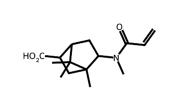 C=CC(=O)N(C)C1CC2C(C(=O)O)CC1(C)C2(C)C